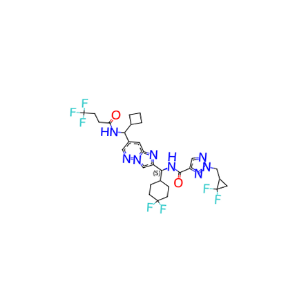 O=C(CCC(F)(F)F)NC(c1cnn2cc([C@@H](NC(=O)c3cnn(CC4CC4(F)F)n3)C3CCC(F)(F)CC3)nc2c1)C1CCC1